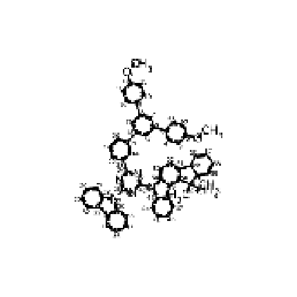 COc1ccc(-c2cc(-c3ccc(OC)cc3)cc(-c3cccc(-c4nc(-n5c6ccccc6c6ccccc65)nc(-n5c6ccccc6c6c7c(ccc65)C5C=CC=CC5(C)C7(C)C)n4)c3)c2)cc1